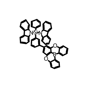 c1ccc([Si](c2cccc(-c3cc4c5c(c3)Oc3ccccc3B5c3ccccc3O4)c2)(n2c3ccccc3c3ccccc32)n2c3ccccc3c3ccccc32)cc1